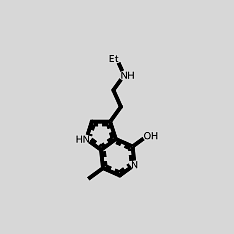 CCNCCc1c[nH]c2c(C)cnc(O)c12